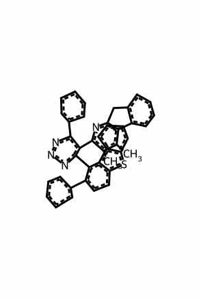 Cc1c(-c2c(-c3ccccc3)nnnc2-c2c(-c3ccccc3)ccc3sc4ccccc4c23)nc2c(c1C)-c1ccccc1C2